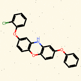 Clc1ccccc1Oc1ccc2c(c1)Nc1cc(Oc3ccccc3)ccc1O2